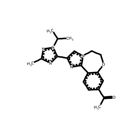 CC(=O)c1ccc2c(c1)OCCn1cc(-c3nc(C)nn3C(C)C)nc1-2